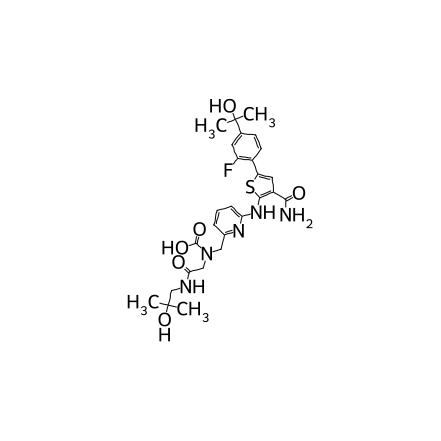 CC(C)(O)CNC(=O)CN(Cc1cccc(Nc2sc(-c3ccc(C(C)(C)O)cc3F)cc2C(N)=O)n1)C(=O)O